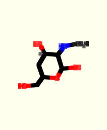 O=S(=O)(O)NC1C(O)OC(CO)C[C@H]1O